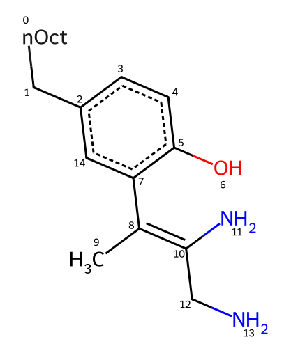 CCCCCCCCCc1ccc(O)c(C(C)=C(N)CN)c1